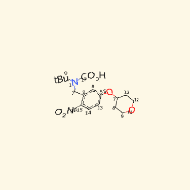 CC(C)(C)N(Cc1cc(OC2CCOCC2)ccc1[N+](=O)[O-])C(=O)O